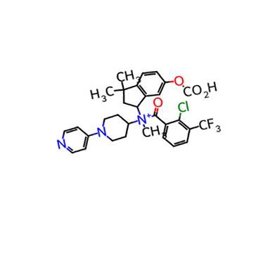 CC1(C)CC([N+](C)(C(=O)c2cccc(C(F)(F)F)c2Cl)C2CCN(c3ccncc3)CC2)c2cc(OC(=O)O)ccc21